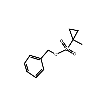 CC1(S(=O)(=O)OCc2ccccc2)CC1